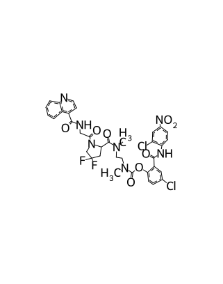 CN(CCN(C)C(=O)C1CC(F)(F)CN1C(=O)CNC(=O)c1ccnc2ccccc12)C(=O)Oc1ccc(Cl)cc1C(=O)Nc1ccc([N+](=O)[O-])cc1Cl